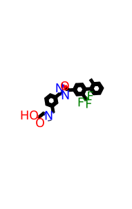 Cc1ccccc1-c1ccc(-c2nc(-c3cccc(CN(C)CC(=O)O)c3)no2)cc1C(F)(F)F